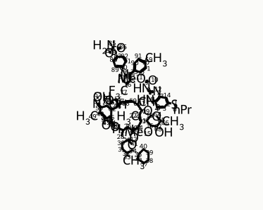 CCCSc1ccc2[nH]c(NC(=O)OC)nc2c1.CO[C@H]1C[C@H](O[C@@H]2/C(C)=C/C[C@@H]3C[C@@H](C[C@]4(CC[C@H](C)[C@@H](C5CCCCC5)O4)O3)OC(=O)[C@@H]3C=C(C)/C(=N/O)[C@H]4OC/C(=C\C=C\[C@@H]2C)[C@]43O)O[C@@H](C)[C@@H]1O.Cc1ccc(-c2cc(C(F)(F)F)nn2-c2ccc(S(N)(=O)=O)cc2)cc1